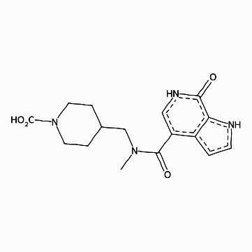 CN(CC1CCN(C(=O)O)CC1)C(=O)c1c[nH]c(=O)c2[nH]ccc12